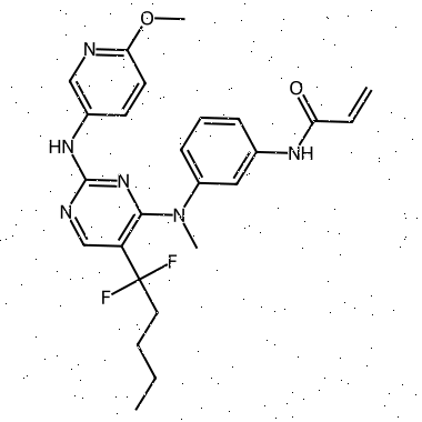 C=CC(=O)Nc1cccc(N(C)c2nc(Nc3ccc(OC)nc3)ncc2C(F)(F)CCCC)c1